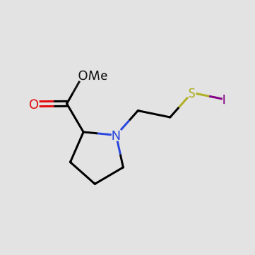 COC(=O)C1CCCN1CCSI